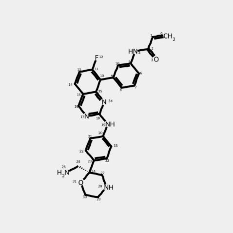 C=CC(=O)Nc1cccc(-c2c(F)ccc3cnc(Nc4ccc([C@@]5(CN)CNCCO5)cc4)nc23)c1